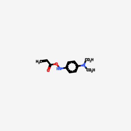 C=CC(=O)ONc1ccc(N(C(=O)O)C(=O)O)cc1